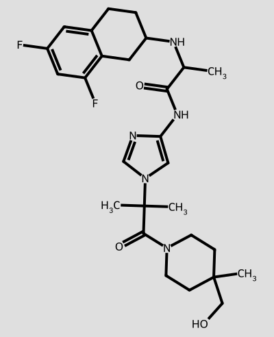 CC(NC1CCc2cc(F)cc(F)c2C1)C(=O)Nc1cn(C(C)(C)C(=O)N2CCC(C)(CO)CC2)cn1